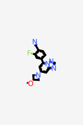 COC1CN(c2cc(-c3ccc(C#N)c(F)c3)n3ncnc3c2)C1